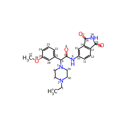 CCN1CCN(C(C(=O)Nc2ccc3c(c2)C(=O)NC3=O)c2cccc(OC)c2)CC1